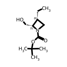 CC[C@@H]1CN(C(=O)OC(C)(C)C)[C@@H]1CO